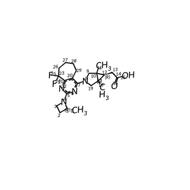 C[C@@H]1CCN1c1nc(N2CC3(C)[C@@H](CC(=O)O)[C@]3(C)C2)c2c(n1)C(F)(F)CCCC2